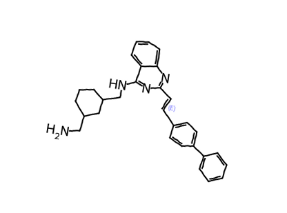 NCC1CCCC(CNc2nc(/C=C/c3ccc(-c4ccccc4)cc3)nc3ccccc23)C1